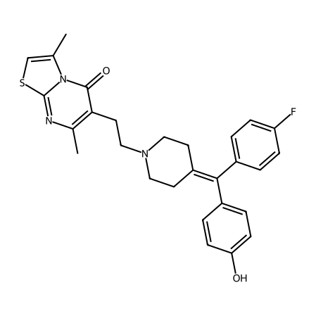 Cc1nc2scc(C)n2c(=O)c1CCN1CCC(=C(c2ccc(O)cc2)c2ccc(F)cc2)CC1